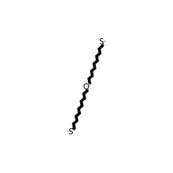 [S]CCCCCCCCCCCOCCCCCCCCCCC[S]